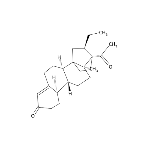 CC[C@@H]1CC23CC[C@@]1(C(C)=O)[C@@]2(C)CC[C@H]1[C@H]3CCC2=CC(=O)CC[C@@H]21